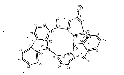 CC(C)c1cc(C(C)C)c2c(c1)C(C)c1cccc3c4ccccc4n(c13)-c1ccc3c(c1)B2c1ccccc1S3